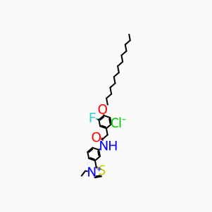 CCCCCCCCCCCCCCOc1ccc(CC(=O)Nc2cccc(-c3scc[n+]3CC)c2)cc1F.[Cl-]